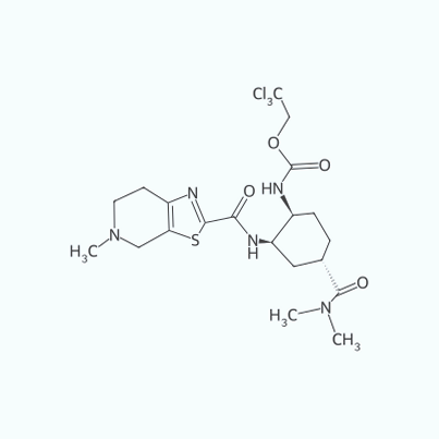 CN1CCc2nc(C(=O)N[C@@H]3C[C@@H](C(=O)N(C)C)CC[C@@H]3NC(=O)OCC(Cl)(Cl)Cl)sc2C1